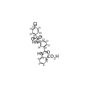 O=C(Nc1ccccc1C(=O)O)c1cccc(NS(=O)(=O)c2ccc(Cl)cc2)c1